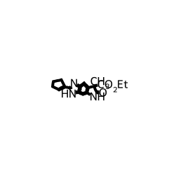 CCOC(=O)C1(C)C(=O)Nc2cc3[nH]c(C4=CCCC4)nc3cc21